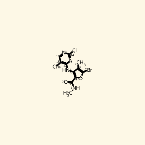 CNC(=O)c1sc(Br)c(C)c1Nc1nc(Cl)ncc1Cl